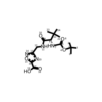 CC(C)(C)OC(=O)N[C@H](C(=O)NCc1noc(C(=O)O)n1)C(C)(C)C